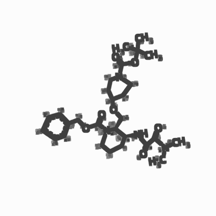 CN(C)C(=O)C(=O)N[C@H]1CCCN(C(=O)OCc2ccccc2)[C@H]1COC1CCN(C(=O)OC(C)(C)C)CC1